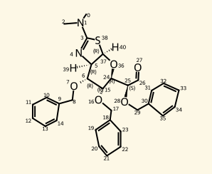 CN(C)C1=N[C@@H]2[C@@H](OCc3ccccc3)[C@@H](OCc3ccccc3)[C@H]([C@@H](C=O)OCc3ccccc3)O[C@@H]2S1